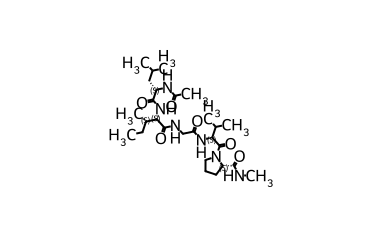 CC[C@H](C)[C@H](NC(=O)[C@H](CC(C)C)NC(C)=O)C(=O)NCC(=O)N[C@H](C(=O)N1CCC[C@H]1C(=O)NC)C(C)C